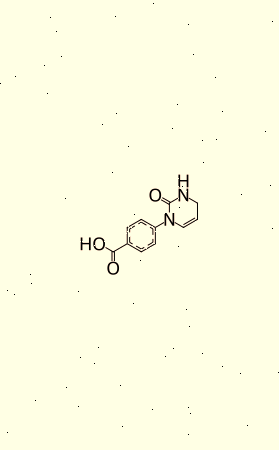 O=C(O)c1ccc(N2C=CCNC2=O)cc1